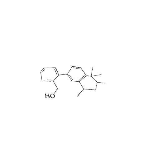 CC1CC(C)C(C)(C)c2ccc(-c3ccccc3CO)cc21